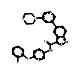 O=C(Nc1ccc(Oc2ccccc2F)nc1)c1n[nH]c2ccc(-c3cncc(N4CCOCC4)c3)cc12